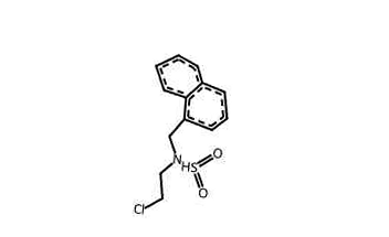 O=[SH](=O)N(CCCl)Cc1cccc2ccccc12